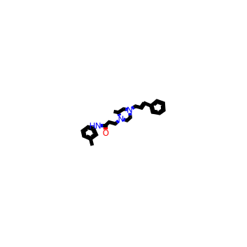 Cc1cccc(NC(=O)CCN2CCN(CC=Cc3ccccc3)CC2C)c1